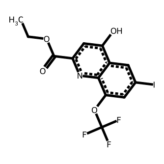 CCOC(=O)c1cc(O)c2cc(I)cc(OC(F)(F)F)c2n1